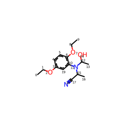 CCOc1ccc(OCC)c(N(C(C)O)C(C)C#N)c1